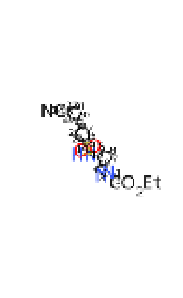 CCOC(=O)Cn1ncc2c1CCCC2NS(=O)(=O)c1ccc(-c2cccc(C#N)c2)cc1